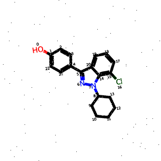 Oc1ccc(-c2nn(C3CCCCC3)c3c(Cl)cccc23)cc1